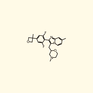 Cc1ccn2c(CC3CN(C)CCO3)c(-c3c(F)cc(C4(C)COC4)cc3F)nc2c1